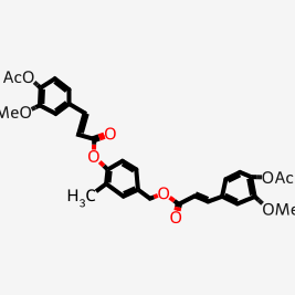 COc1cc(/C=C/C(=O)OCc2ccc(OC(=O)/C=C/c3ccc(OC(C)=O)c(OC)c3)c(C)c2)ccc1OC(C)=O